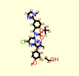 COc1ccc(-c2c(C)nn3c(N(Cc4cccc(-c5nccn5C)c4)C(=O)OC(C)(C)C)cc(Cl)nc23)cc1SCCO